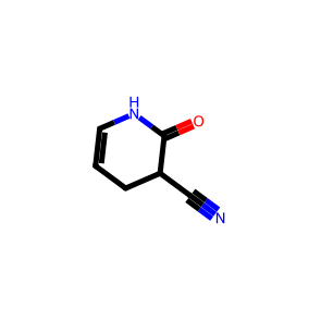 N#CC1CC=CNC1=O